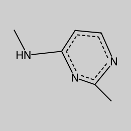 CNc1ccnc(C)n1